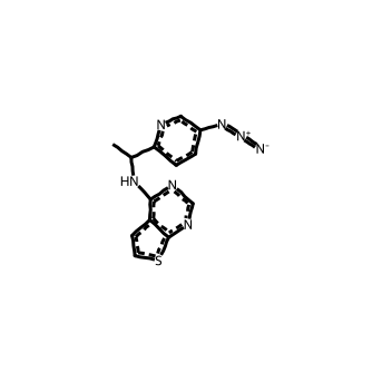 CC(Nc1ncnc2sccc12)c1ccc(N=[N+]=[N-])cn1